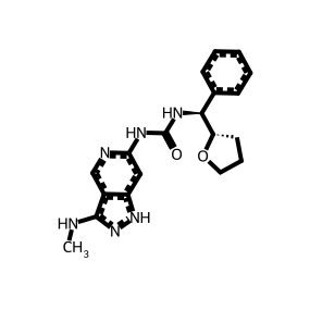 CNc1n[nH]c2cc(NC(=O)N[C@@H](c3ccccc3)[C@@H]3CCCO3)ncc12